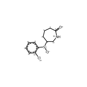 O=C1CCCC([S+]([O-])c2ccccc2Cl)CN1